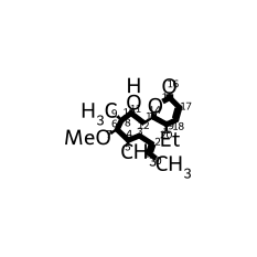 C/C=C/C[C@H](C)[C@@H](OC)[C@@H](C)[C@H](O)C[C@H]1OC(=O)C=C[C@H]1CC